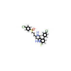 [O-][S+](CCCC1Cc2[nH]c3c(F)ccc(-c4ccc(Cl)cc4)c3c2CN1)c1ccc(Cl)cc1